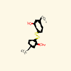 Oc1cc(C(Cl)(Cl)Cl)ccc1SSc1ccc(C(Cl)(Cl)Cl)cc1O